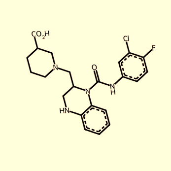 O=C(O)C1CCCN(CC2CNc3ccccc3N2C(=O)Nc2ccc(F)c(Cl)c2)C1